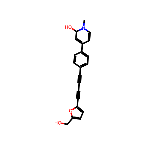 CN1C=CC(c2ccc(C#CC#Cc3ccc(CO)o3)cc2)=CC1O